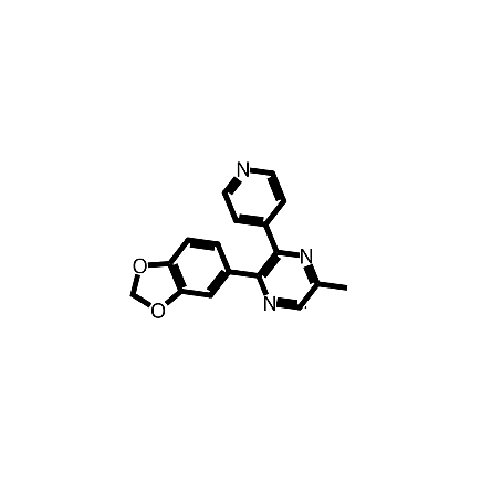 Cc1[c]nc(-c2ccc3c(c2)OCO3)c(-c2ccncc2)n1